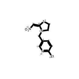 CCc1ccc(CN2CCS/C2=C/[N+](=O)[O-])cn1